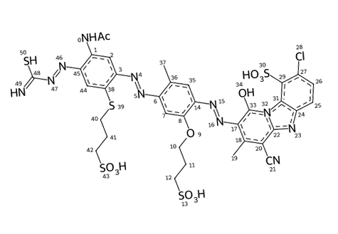 CC(=O)Nc1cc(N=Nc2cc(OCCCS(=O)(=O)O)c(N=Nc3c(C)c(C#N)c4nc5ccc(Cl)c(S(=O)(=O)O)c5n4c3O)cc2C)c(SCCCS(=O)(=O)O)cc1N=NC(=N)S